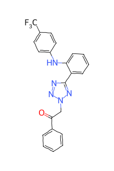 O=C(Cn1nnc(-c2ccccc2Nc2ccc(C(F)(F)F)cc2)n1)c1ccccc1